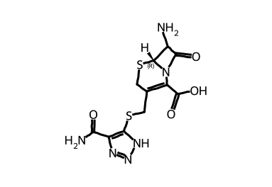 NC(=O)c1nn[nH]c1SCC1=C(C(=O)O)N2C(=O)C(N)[C@H]2SC1